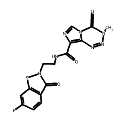 Cn1nnc2c(C(=O)NCCn3sc4cc(F)ccc4c3=O)ncn2c1=O